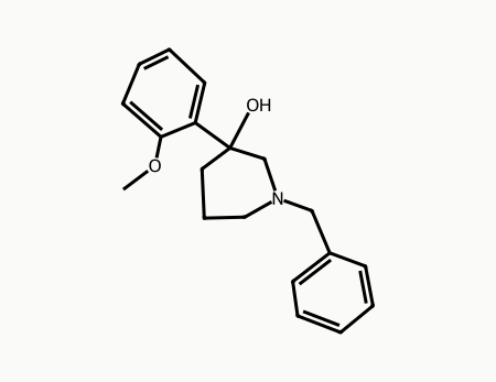 COc1ccccc1C1(O)CCCN(Cc2ccccc2)C1